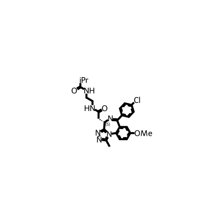 COc1ccc2c(c1)C(c1ccc(Cl)cc1)=N[C@@H](CC(=O)NCCNC(=O)C(C)C)c1nnc(C)n1-2